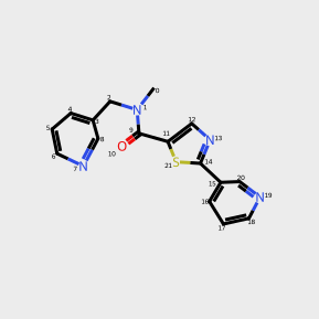 CN(Cc1cccnc1)C(=O)c1cnc(-c2cccnc2)s1